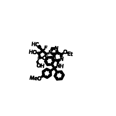 C#C[C@@]1(F)[C@H](O)[C@@H](CO)O[C@H]1n1cnc2c(OCC)nc(NC(c3ccccc3)(c3ccccc3)c3ccc(OC)cc3)nc21